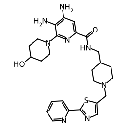 Nc1cc(C(=O)NCC2CCN(Cc3cnc(-c4ccccn4)s3)CC2)nc(N2CCC(O)CC2)c1N